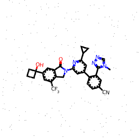 Cn1cnnc1-c1cc(C#N)ccc1-c1cc(C2CC2)nc(N2Cc3c(cc(C4(O)CCC4)cc3C(F)(F)F)C2=O)c1